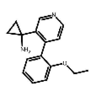 CCOc1ccccc1-c1ccncc1C1(N)CC1